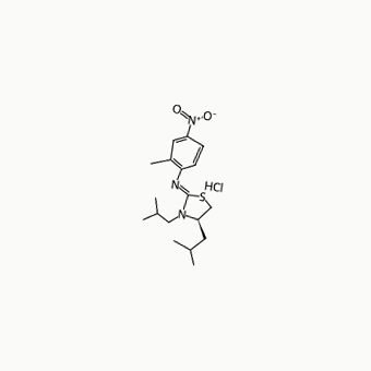 Cc1cc([N+](=O)[O-])ccc1/N=C1\SC[C@@H](CC(C)C)N1CC(C)C.Cl